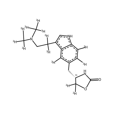 [2H]c1c(C[C@@H]2NC(=O)OC2([2H])[2H])c([2H])c2c(C([2H])([2H])CN(C([2H])([2H])[2H])C([2H])([2H])[2H])c[nH]c2c1[2H]